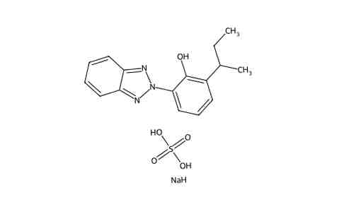 CCC(C)c1cccc(-n2nc3ccccc3n2)c1O.O=S(=O)(O)O.[NaH]